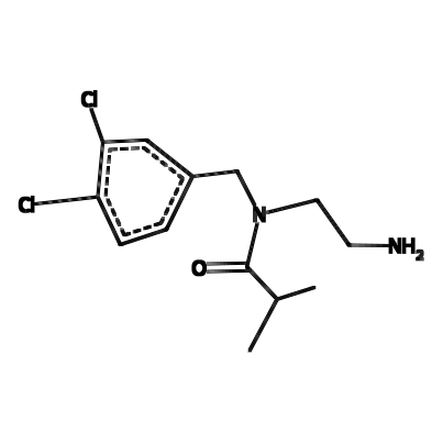 CC(C)C(=O)N(CCN)Cc1ccc(Cl)c(Cl)c1